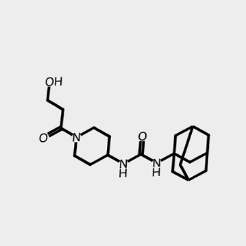 O=C(NC1CCN(C(=O)CCO)CC1)NC12CC3CC(CC(C3)C1)C2